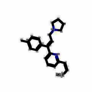 CCOC(=O)/C=C\c1cccc(/C(=C/CN2CCCC2)c2ccc(C)cc2)n1